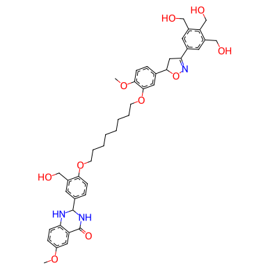 COc1ccc2c(c1)C(=O)NC(c1ccc(OCCCCCCCCOc3cc(C4CC(c5cc(CO)c(CO)c(CO)c5)=NO4)ccc3OC)c(CO)c1)N2